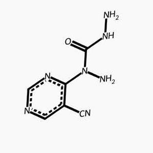 N#Cc1cncnc1N(N)C(=O)NN